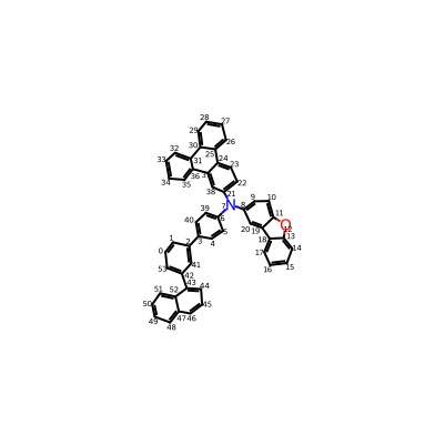 c1cc(-c2ccc(N(c3ccc4oc5ccccc5c4c3)c3ccc4c5ccccc5c5ccccc5c4c3)cc2)cc(-c2cccc3ccccc23)c1